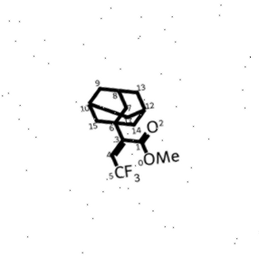 COC(=O)C(=CC(F)(F)F)C12CC3CC(CC(C3)C1)C2